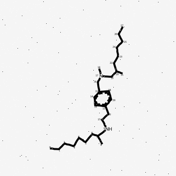 CCCCCCCC(C)NCCc1ccc(CN(C)CC(C)CCCCCC)cc1